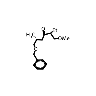 CCC(COC)C(=O)C[C@@H](C)COCc1ccccc1